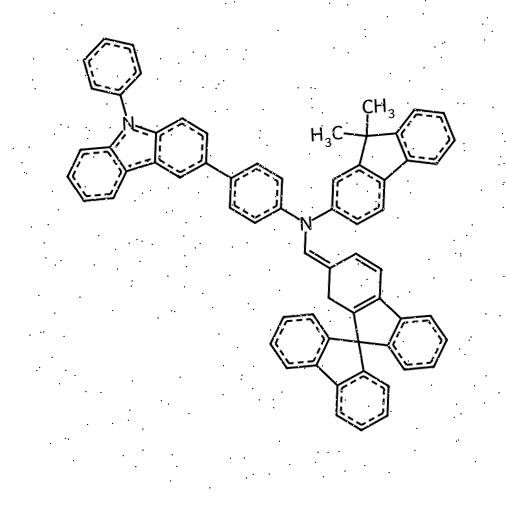 CC1(C)c2ccccc2-c2ccc(N(/C=C3\C=CC4=C(C3)C3(c5ccccc54)c4ccccc4-c4ccccc43)c3ccc(-c4ccc5c(c4)c4ccccc4n5-c4ccccc4)cc3)cc21